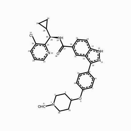 O=CN1CCC(Oc2ccc(-c3n[nH]c4ccc(C(=O)N[C@@H](c5ncccc5Cl)C5CC5)cc34)cc2)CC1